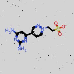 Nc1cc(-c2cc[n+](CCS(=O)(=O)[O-])nc2)nc(N)n1